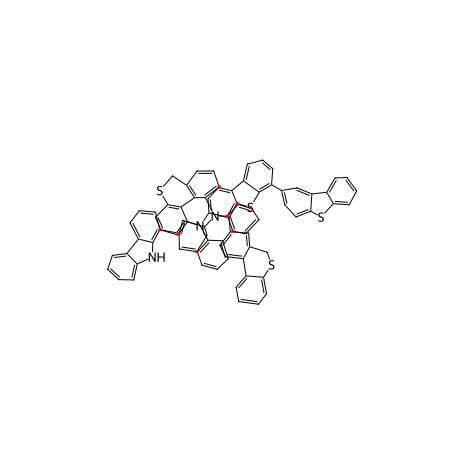 c1ccc(N(c2cccc(-c3cccc4c3[nH]c3ccccc34)c2)c2cccc3c2-c2c(cccc2N(c2ccccc2)c2ccc4c(sc5c(-c6ccc7sc8ccccc8c7c6)cccc54)c2-c2ccc4c(c2)CSc2ccccc2-4)SC3)cc1